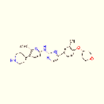 COc1nc(Nc2nccc(-c3ccc(OC4CCOCC4)c(C#N)c3)n2)ccc1C1CCNCC1